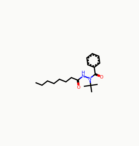 CCCCCCCC(=O)NN(C(=O)c1ccccc1)C(C)(C)C